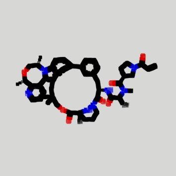 C=CC(=O)N1CC[C@H](C(=O)N(C)C(C(=O)N[C@H]2Cc3cccc(c3)-c3ccc4c(c3)c(c3n4[C@@H](C)CO[C@@H](C)c4ncccc4-3)CC(C)(C)COC(=O)[C@@H]3CCCN(N3)C2=O)C(C)C)C1